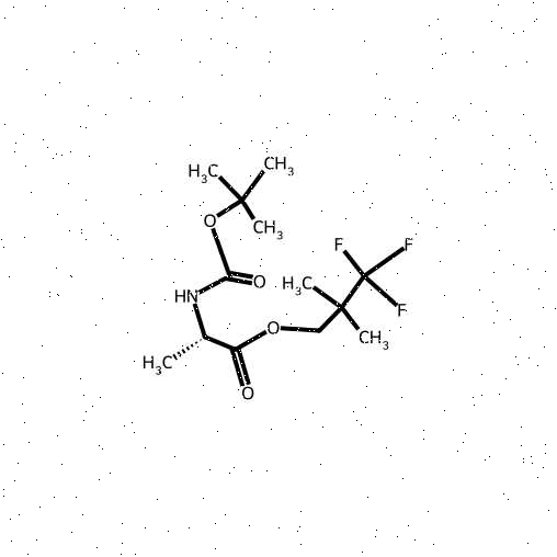 C[C@H](NC(=O)OC(C)(C)C)C(=O)OCC(C)(C)C(F)(F)F